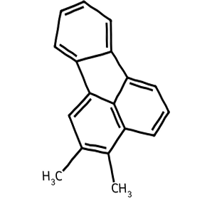 Cc1cc2c3c(cccc3c1C)-c1ccccc1-2